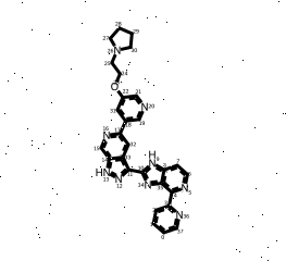 c1ccc(-c2nccc3[nH]c(-c4n[nH]c5cnc(-c6cncc(OCCN7CCCC7)c6)cc45)nc23)nc1